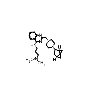 CN(C)CCCNc1nc(CN2CCN(C3C[C@@H]4CC45C[C@H]35)CC2)nc2ccccc12